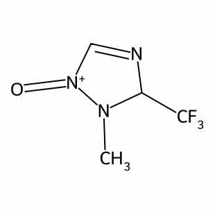 CN1C(C(F)(F)F)N=C[N+]1=O